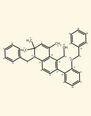 CC1=CC(C)(C)N(Cc2ccccc2)c2ccc(-c3ccccc3OCc3ccccc3)c(CO)c21